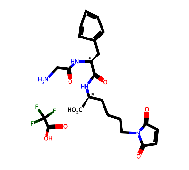 NCC(=O)N[C@@H](Cc1ccccc1)C(=O)N[C@@H](CCCCN1C(=O)C=CC1=O)C(=O)O.O=C(O)C(F)(F)F